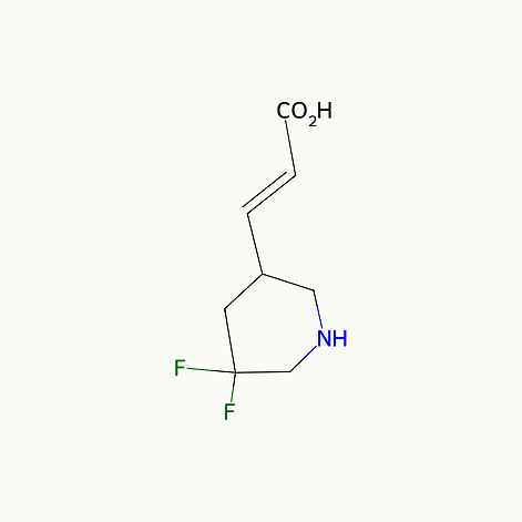 O=C(O)/C=C/C1CNCC(F)(F)C1